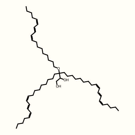 CCCC\C=C/C=C/C=C\CCCCCCCCOC(CCCCCCCC\C=C/C=C/C=C\CCCC)(CCCCCCCC\C=C/C=C/C=C\CCCC)C(O)CO